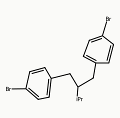 CC(C)C(Cc1ccc(Br)cc1)Cc1ccc(Br)cc1